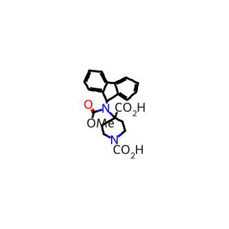 COC(=O)N(C1c2ccccc2-c2ccccc21)C1(C(=O)O)CCN(C(=O)O)CC1